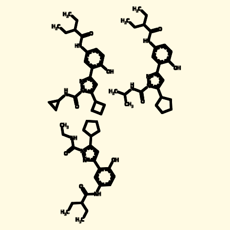 CCC(CC)C(=O)Nc1ccc(O)c(-c2cc(C3CCC3)n(C(=O)NC3CC3)n2)c1.CCC(CC)C(=O)Nc1ccc(O)c(-c2cc(C3CCCC3)n(C(=O)NC(C)C)n2)c1.CCNC(=O)n1nc(-c2cc(NC(=O)C(CC)CC)ccc2O)cc1C1CCCC1